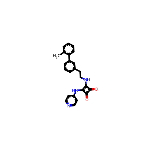 Cc1ccccc1-c1cccc(CCNc2c(Nc3ccncc3)c(=O)c2=O)c1